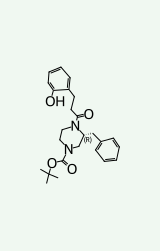 CC(C)(C)OC(=O)N1CCN(C(=O)CCc2ccccc2O)[C@H](Cc2ccccc2)C1